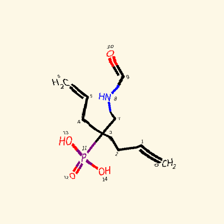 C=CCC(CC=C)(CNC=O)P(=O)(O)O